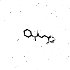 CN(C(=S)CCc1nnnn1C)C1CCCCC1